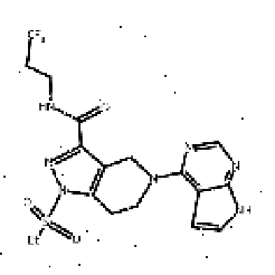 CCS(=O)(=O)n1nc(C(=O)NCCC(F)(F)F)c2c1CCN(c1ncnc3[nH]ccc13)C2